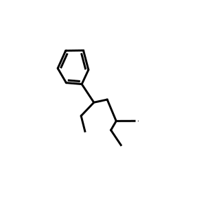 [CH2]C(CC)CC(CC)c1ccccc1